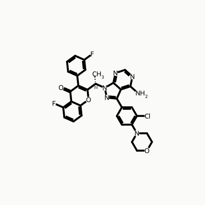 C[C@@H](c1oc2cccc(F)c2c(=O)c1-c1cccc(F)c1)n1nc(-c2ccc(N3CCOCC3)c(Cl)c2)c2c(N)ncnc21